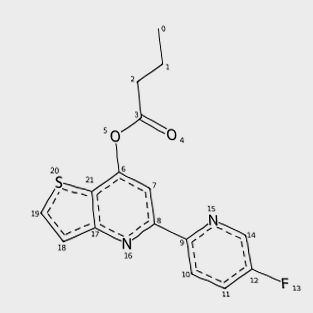 CCCC(=O)Oc1cc(-c2ccc(F)cn2)nc2ccsc12